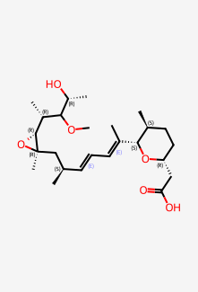 COC([C@@H](C)[C@H]1O[C@]1(C)C[C@H](C)/C=C/C=C(\C)[C@H]1O[C@@H](CC(=O)O)CC[C@@H]1C)[C@@H](C)O